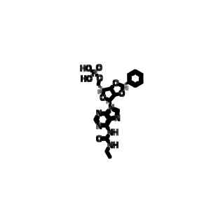 CCNC(=O)Nc1ncnc2c1ncn2[C@@H]1O[C@H](COP(=O)(O)O)C2O[C@H](c3ccccc3)OC21